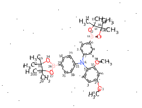 COc1ccc(N(c2ccc(B3OC(C)(C)C(C)(C)O3)cc2)c2ccc(B3OC(C)(C)C(C)(C)O3)cc2)c(OC)c1